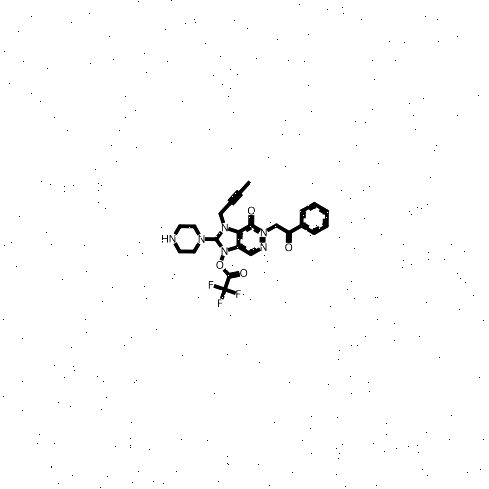 CC#CCN1c2c(cnn(CC(=O)c3ccccc3)c2=O)N(OC(=O)C(F)(F)F)C1N1CCNCC1